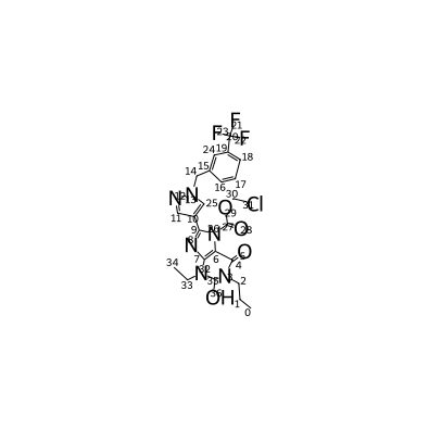 CCCN1C(=O)c2c(nc(-c3cnn(Cc4cccc(C(F)(F)F)c4)c3)n2C(=O)OCCl)N(CC)C1O